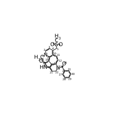 CN1C=CC(CS(C)(=O)=O)=c2ccc3c4c([nH]c(=O)c-4c21)=CCN3C(=O)c1ccccc1